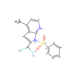 Bc1ccnc2c1cc(C(F)F)n2S(=O)(=O)c1ccccc1